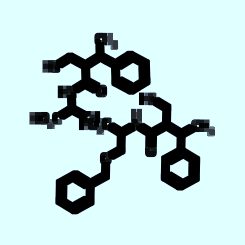 CC(NC(=O)C(CS)C(C)c1ccccc1)C(=O)O.CC(c1ccccc1)C(CS)C(=O)NC(COCc1ccccc1)C(=O)O